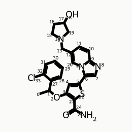 CC(Oc1cc(-c2cnc3ccc(CN4CCC(O)C4)cn23)sc1C(N)=O)c1ccccc1Cl